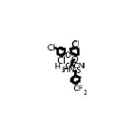 C[C@](C#N)(COc1ccc(Cl)cc1Oc1ccc(Cl)cc1Cl)NC(=S)c1ccc(C(F)(F)F)cc1